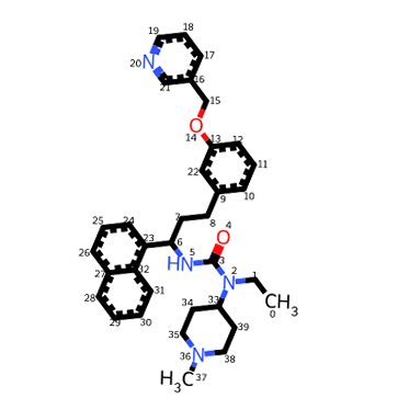 CCN(C(=O)NC(CCc1cccc(OCc2cccnc2)c1)c1cccc2ccccc12)C1CCN(C)CC1